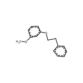 COc1cccc(OCCc2ccccc2)c1